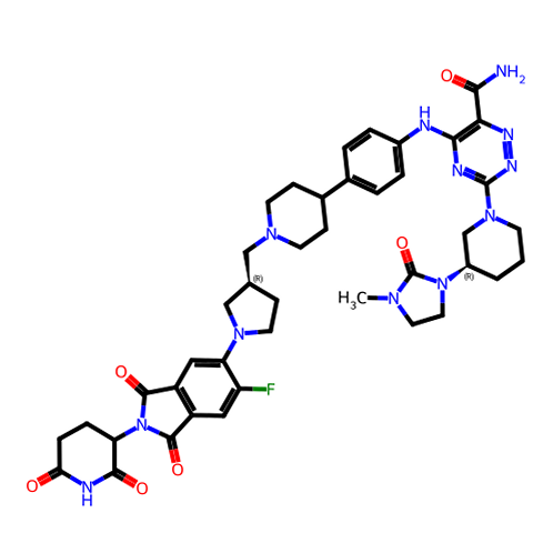 CN1CCN([C@@H]2CCCN(c3nnc(C(N)=O)c(Nc4ccc(C5CCN(C[C@H]6CCN(c7cc8c(cc7F)C(=O)N(C7CCC(=O)NC7=O)C8=O)C6)CC5)cc4)n3)C2)C1=O